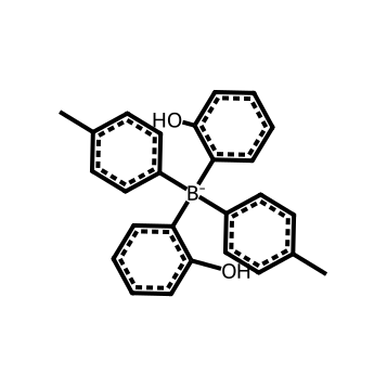 Cc1ccc([B-](c2ccc(C)cc2)(c2ccccc2O)c2ccccc2O)cc1